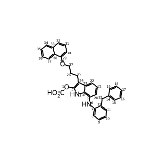 O=C(O)Oc1[nH]c2c(Nc3ccccc3Cc3ccccc3)cccc2c1CCCOc1cccc2ccccc12